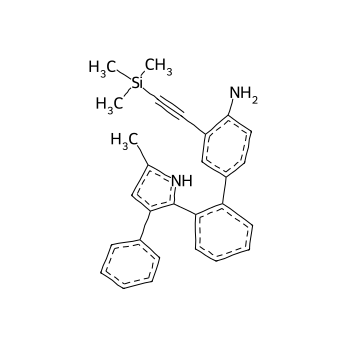 Cc1cc(-c2ccccc2)c(-c2ccccc2-c2ccc(N)c(C#C[Si](C)(C)C)c2)[nH]1